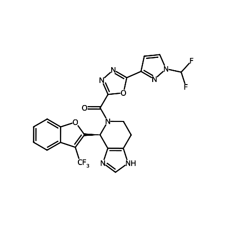 O=C(c1nnc(-c2ccn(C(F)F)n2)o1)N1CCc2[nH]cnc2[C@H]1c1oc2ccccc2c1C(F)(F)F